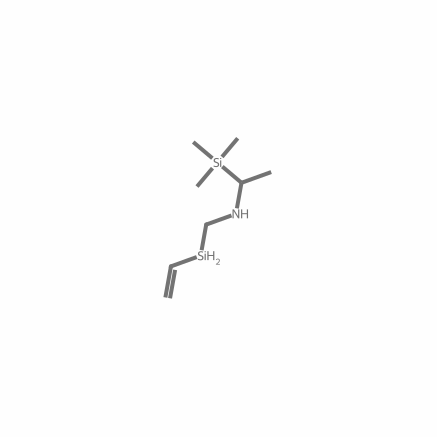 C=C[SiH2]CNC(C)[Si](C)(C)C